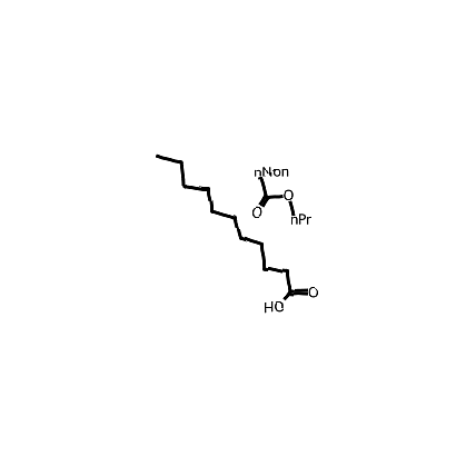 CCCCCCCCCC(=O)OCCC.CCCCCCCCCCC(=O)O